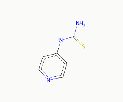 NC(=S)[N]c1ccncc1